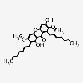 CCCC/C=C/Cc1c(OC)cc2oc3cc(O)c(OC)c(C/C=C/CCCC)c3c(=O)c2c1O